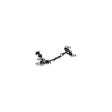 Cc1ncsc1-c1ccc(CNC(=O)[C@@H]2C[C@@H](O)CN2C(O)[C@@H](NC(=O)COCCOCCOCCOCCOCCCC[C@@H]2Cc3cc(O)ccc3[C@H]3CC[C@]4(C)[C@@H](O)CC[C@H]4[C@H]23)C(C)C)cc1